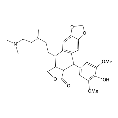 COc1cc(C2c3cc4c(cc3C(CCN(C)CCN(C)C)C3COC(=O)C23)OCO4)cc(OC)c1O